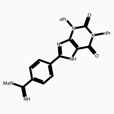 CCCn1c(=O)c2[nH]c(-c3ccc(C(=N)NC)cc3)nc2n(CCC)c1=O